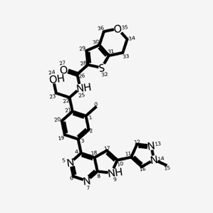 Cc1cc(-c2ncnc3[nH]c(-c4cnn(C)c4)cc23)ccc1C(CO)NC(=O)c1cc2c(s1)CCOC2